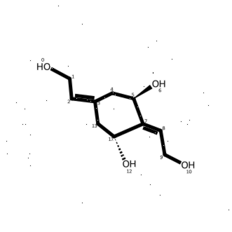 OCC=C1C[C@@H](O)C(=CCO)[C@H](O)C1